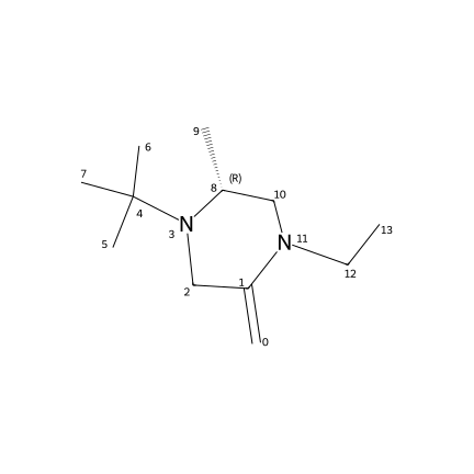 C=C1CN(C(C)(C)C)[C@H](C)CN1CC